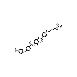 C=CC(=O)OCCCCOc1ccc(C(=O)Oc2ccc(OC(=O)c3ccc(C[n+]4ccc(N(C)C)cc4)cc3)c(C)c2C)cc1